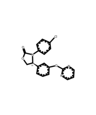 O=C1OC[C@H](c2cccc(Oc3ncccn3)c2)N1c1ccc(Cl)cc1